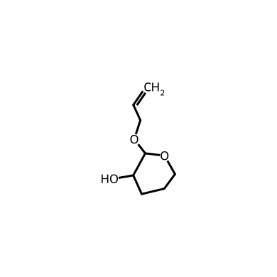 C=CCOC1OCCCC1O